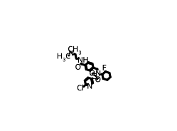 CN(C)CCNC(=O)c1ccc(CN(C2CCCCC2F)S(=O)(=O)c2ccc(Cl)nc2)cc1